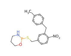 Cc1ccc(Cc2cc(CSP3NCCCO3)ccc2[N+](=O)[O-])cc1